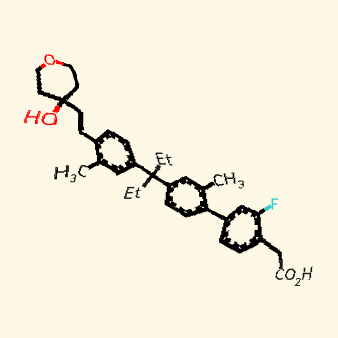 CCC(CC)(c1ccc(/C=C/C2(O)CCOCC2)c(C)c1)c1ccc(-c2ccc(CC(=O)O)c(F)c2)c(C)c1